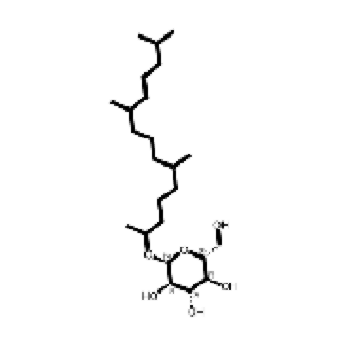 CC(C)CCCC(C)CCCC(C)CCCC(C)O[C@H]1O[C@H](CO)[C@@H](O)[C@H](O)[C@H]1O